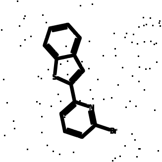 Brc1cccc(-c2cc3ccccc3s2)n1